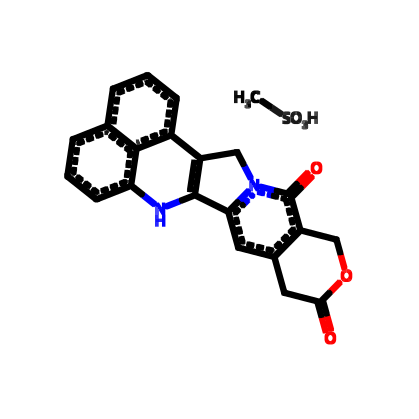 CS(=O)(=O)O.O=C1Cc2cc3n(c(=O)c2CO1)CC1=C3Nc2cccc3cccc1c23